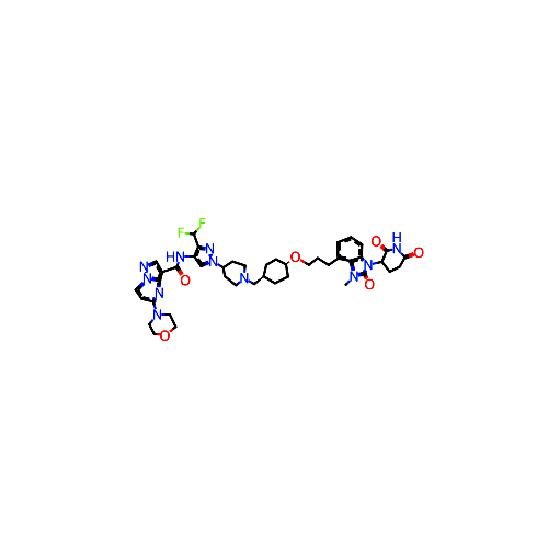 Cn1c(=O)n(C2CCC(=O)NC2=O)c2cccc(CCCO[C@H]3CC[C@H](CN4CCC(n5cc(NC(=O)c6cnn7ccc(N8CCOCC8)nc67)c(C(F)F)n5)CC4)CC3)c21